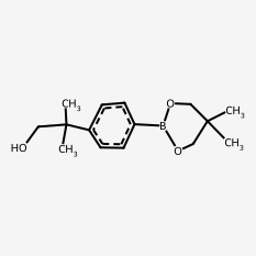 CC1(C)COB(c2ccc(C(C)(C)CO)cc2)OC1